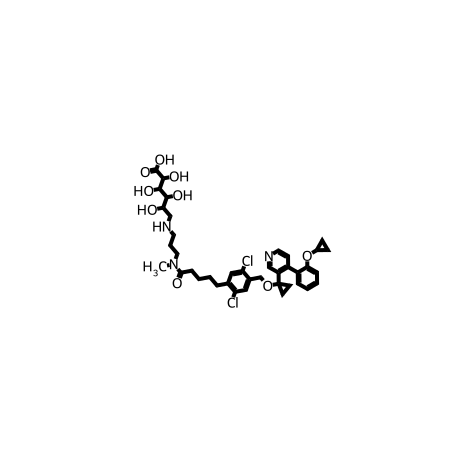 CN(CCCNCC(O)C(O)C(O)C(O)C(=O)O)C(=O)CCCCc1cc(Cl)c(COC2(c3cnccc3-c3ccccc3OC3CC3)CC2)cc1Cl